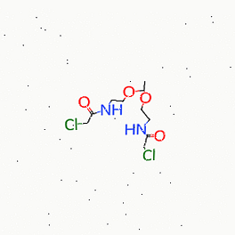 CC(OCCNC(=O)CCl)OCCNC(=O)CCl